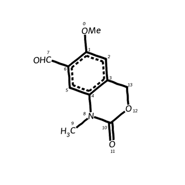 COc1cc2c(cc1C=O)N(C)C(=O)OC2